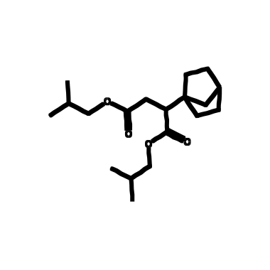 CC(C)COC(=O)CC(C(=O)OCC(C)C)C12CCC(CC1)C2